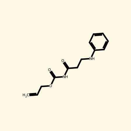 C=CCOC(=O)NC(=O)CCNc1ccccc1